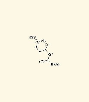 CNC(=O)Oc1ccc(N=O)cc1